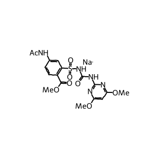 COC(=O)c1ccc(NC(C)=O)cc1S(=O)(=O)NC(=O)Nc1nc(OC)cc(OC)n1.[Na]